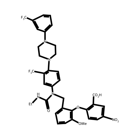 CCNC(=O)N(Cc1cccc(OC)c1Oc1ccc([N+](=O)[O-])cc1C(=O)O)c1ccc(N2CCN(c3cccc(C(F)(F)F)c3)CC2)c(C(F)(F)F)c1